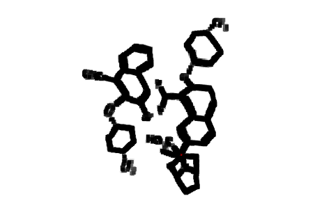 CC(c1ccc2ccc(O[C@H]3CC[C@@H](C(F)(F)F)CC3)c(C(F)F)c2c1)N1C2CCC1CC(C(=O)O)C2.O=Cc1c(O[C@H]2CC[C@@H](C(F)(F)F)CC2)c(Br)cc2ccccc12